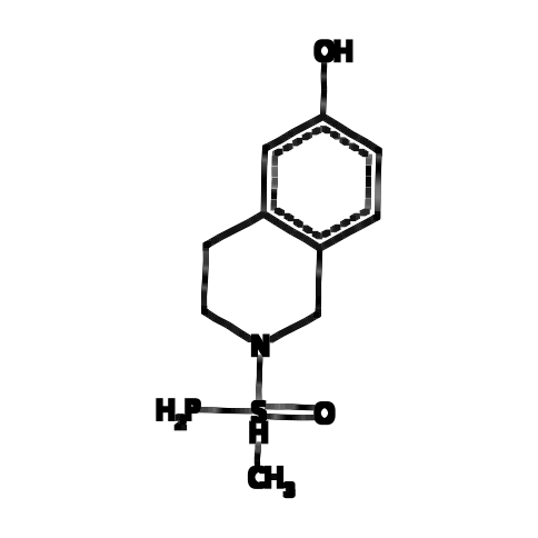 C[SH](=O)(P)N1CCc2cc(O)ccc2C1